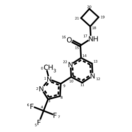 Cn1nc(C(F)(F)F)cc1-c1cncc(C(=O)NC2CCC2)n1